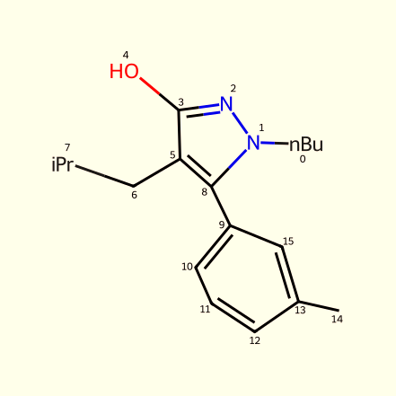 CCCCn1nc(O)c(CC(C)C)c1-c1cccc(C)c1